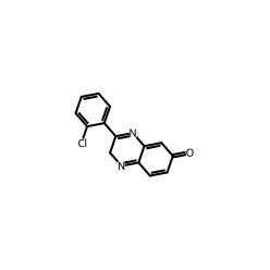 O=C1C=CC2=NCC(c3ccccc3Cl)=NC2=C1